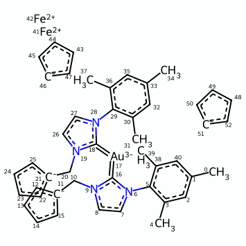 Cc1cc(C)c(-n2ccn(C[c-]3cccc3)[c]2=[Au-3]=[c]2n(C[c-]3cccc3)ccn2-c2c(C)cc(C)cc2C)c(C)c1.[Fe+2].[Fe+2].c1cc[cH-]c1.c1cc[cH-]c1